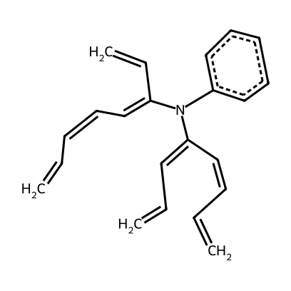 C=C/C=C\C=C(/C=C)N(C(/C=C\C=C)=C/C=C)c1ccccc1